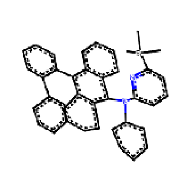 C[Si](C)(C)c1cccc(N(c2ccccc2)c2c3ccccc3c(-c3ccccc3-c3ccccc3)c3ccccc23)n1